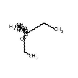 CCCC/C=C\CCCCCCCC(=O)OC[C@H](COP(=O)(O)OCC[N+](C)(C)C)OC(=O)CCCCCCCCCCC/C=C\CCCCCCCC